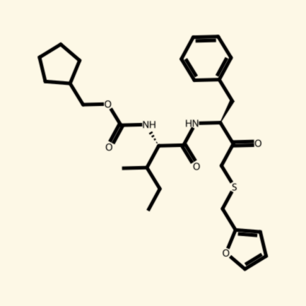 CCC(C)[C@H](NC(=O)OCC1CCCC1)C(=O)N[C@@H](Cc1ccccc1)C(=O)CSCc1ccco1